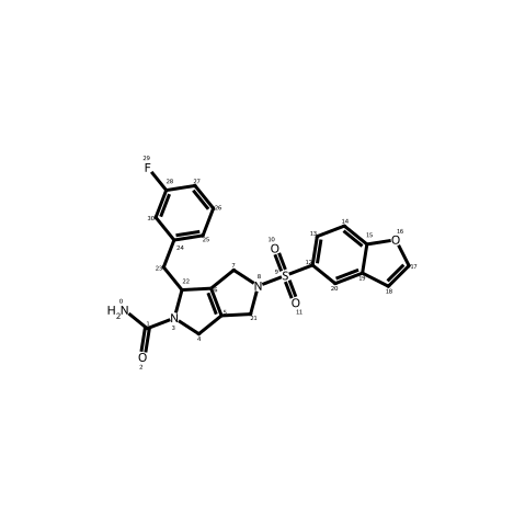 NC(=O)N1CC2=C(CN(S(=O)(=O)c3ccc4occc4c3)C2)C1Cc1cccc(F)c1